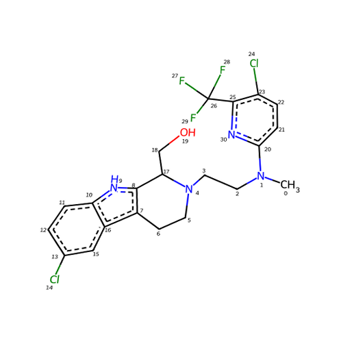 CN(CCN1CCc2c([nH]c3ccc(Cl)cc23)C1CO)c1ccc(Cl)c(C(F)(F)F)n1